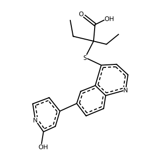 CCC(CC)(Sc1ccnc2ccc(-c3ccnc(O)c3)cc12)C(=O)O